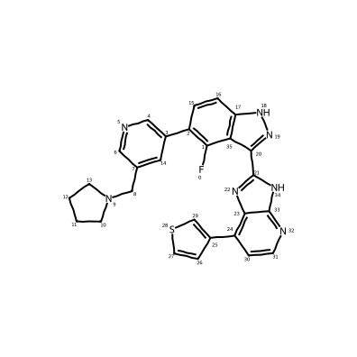 Fc1c(-c2cncc(CN3CCCC3)c2)ccc2[nH]nc(-c3nc4c(-c5ccsc5)ccnc4[nH]3)c12